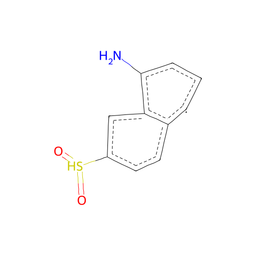 Nc1cc[c]c2ccc([SH](=O)=O)cc12